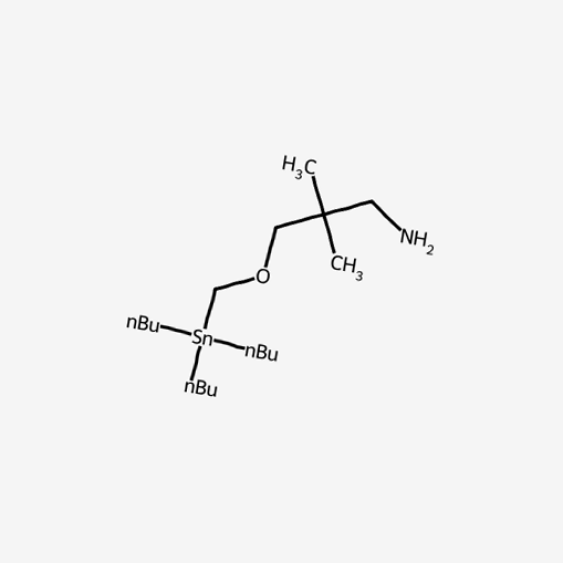 CCC[CH2][Sn]([CH2]CCC)([CH2]CCC)[CH2]OCC(C)(C)CN